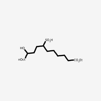 CCCCCCCCC(O)CCC(CCCCCC(=O)OCC)S(=O)(=O)O